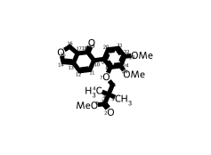 COC(=O)C(C)(C)COc1c(C2C=CC3=COCC3C2=O)ccc(OC)c1OC